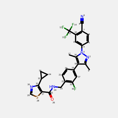 Cc1nn(-c2ccc(C#N)c(C(F)(F)F)c2)c(C)c1-c1ccc(CNC(=O)c2scnc2C2CC2)c(F)c1